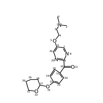 CN(C)CCOc1cnc(C(=O)c2ccc(OC3CCCCO3)cc2)nc1